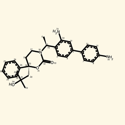 C[C@@H](c1ccc(-c2ccc(N)cc2)cc1N)N1CC[C@](CC(C)(C)O)(c2ccccc2)OC1=O